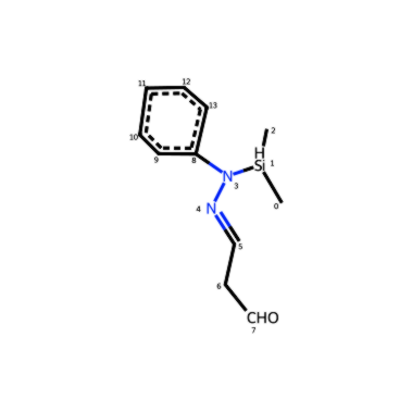 C[SiH](C)N(N=CCC=O)c1ccccc1